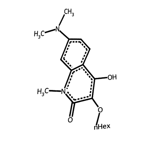 CCCCCCOc1c(O)c2ccc(N(C)C)cc2n(C)c1=O